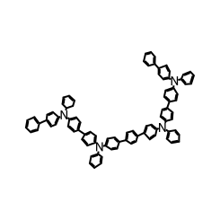 C1=CCC(N(c2ccc(-c3ccccc3)cc2)c2ccc(-c3ccc(N(c4ccccc4)c4ccc(-c5ccc(-c6ccc(N(c7ccccc7)c7ccc(-c8ccc(N(c9ccccc9)c9ccc(-c%10ccccc%10)cc9)cc8)cc7)cc6)cc5)cc4)cc3)cc2)C=C1